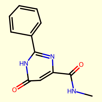 CNC(=O)c1cc(=O)[nH]c(-c2ccccc2)n1